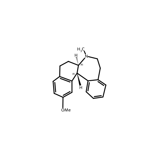 COc1ccc2c(c1)[C@H]1c3ccccc3CCN(C)[C@@H]1CC2